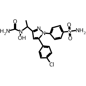 CC(c1cc(-c2ccc(Cl)cc2)n(-c2ccc(S(N)(=O)=O)cc2)n1)N(O)C(N)=O